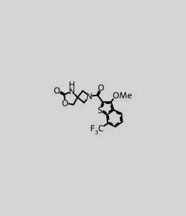 COc1c(C(=O)N2CC3(COC(=O)N3)C2)sc2c(C(F)(F)F)cccc12